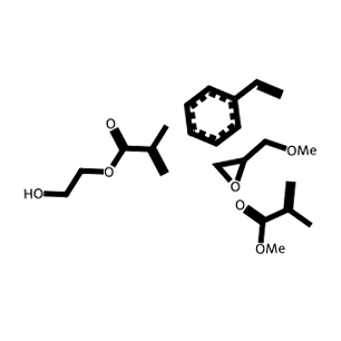 C=C(C)C(=O)OC.C=C(C)C(=O)OCCO.C=Cc1ccccc1.COCC1CO1